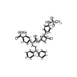 CNC(=O)c1ccc(N(CCC(c2ccccc2)c2ccccc2)C(=O)Nc2nc(-c3ccc(NS(C)(=O)=O)cc3)c(Cl)s2)cc1